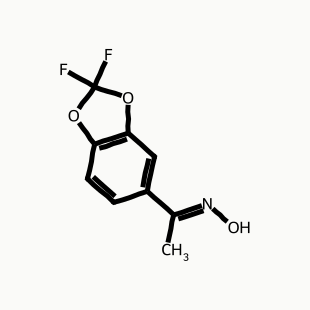 CC(=NO)c1ccc2c(c1)OC(F)(F)O2